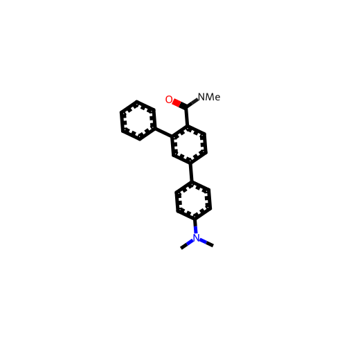 CNC(=O)c1ccc(-c2ccc(N(C)C)cc2)cc1-c1ccccc1